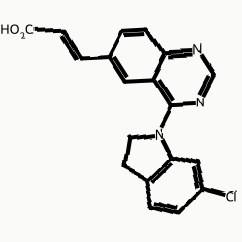 O=C(O)C=Cc1ccc2ncnc(N3CCc4ccc(Cl)cc43)c2c1